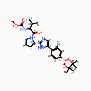 COC(=O)NC(C(=O)N1CCC[C@H]1c1ncc(-c2ccc(B3OC(C)(C)C(C)(C)O3)cc2Cl)[nH]1)C(C)C